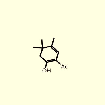 CC(=O)C1=C(O)CC(C)(C)C(C)=C1